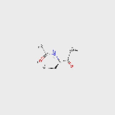 COC(=O)[C@@H](CC#N)NC(=O)C(F)(F)F